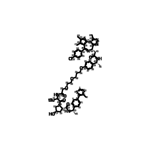 Cc1ncsc1-c1ccc([C@H](C)NC(=O)[C@@H]2C[C@@H](O)CN2C(=O)C(NC(=O)COCCOCCCOc2ccc([C@@H](C)NC(=O)C[C@@H]3N=C(c4ccc(Cl)cc4)c4c(sc(C)c4C)-n4c(C)nnc43)cc2)C(C)(C)C)cc1